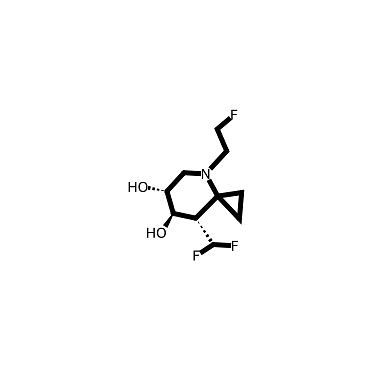 O[C@H]1[C@H](O)CN(CCF)C2(CC2)[C@@H]1C(F)F